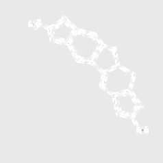 Cc1cc2cc3c(cc2s1)SC1Cc2sc(O)cc2C=C31